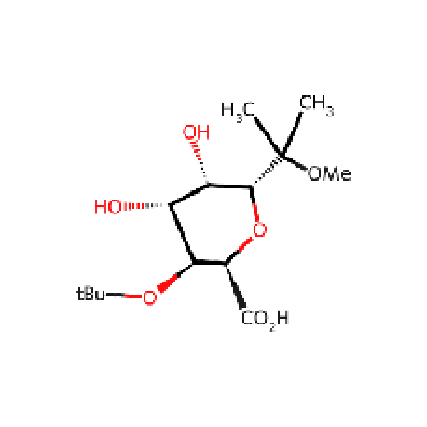 COC(C)(C)[C@@H]1O[C@@H](C(=O)O)[C@@H](OC(C)(C)C)[C@H](O)[C@@H]1O